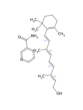 CC1=C(/C=C/C(C)=C/C=C/C(C)=C/CO)C(C)(C)CCC1.NC(=O)c1cccnc1